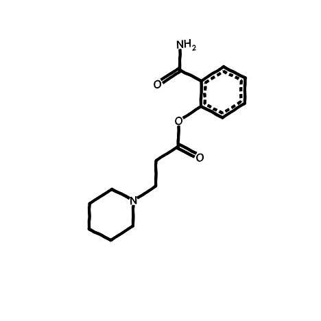 NC(=O)c1ccccc1OC(=O)CCN1CCCCC1